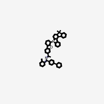 C=c1cccc/c1=C(/N=C(\C)c1ccc2c(c1)oc1c(-n3c4ccccc4c4c5c(ccc43)C(C)(C)c3ccccc3-5)cccc12)c1ccc(-c2ccccc2)cc1